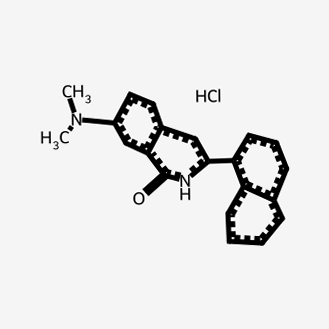 CN(C)c1ccc2cc(-c3cccc4ccccc34)[nH]c(=O)c2c1.Cl